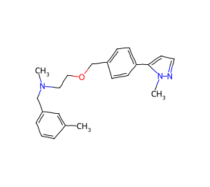 Cc1cccc(CN(C)CCOCc2ccc(-c3ccnn3C)cc2)c1